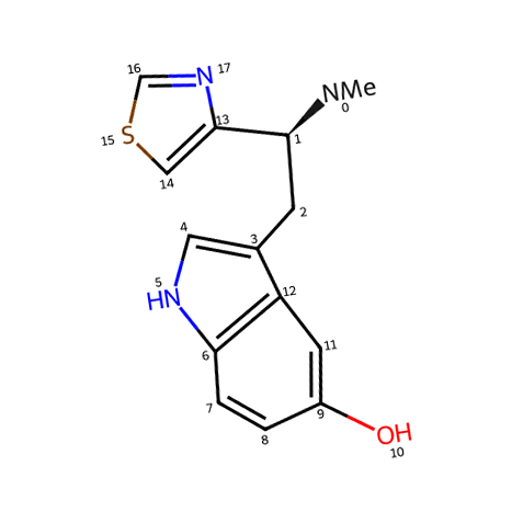 CN[C@@H](Cc1c[nH]c2ccc(O)cc12)c1cscn1